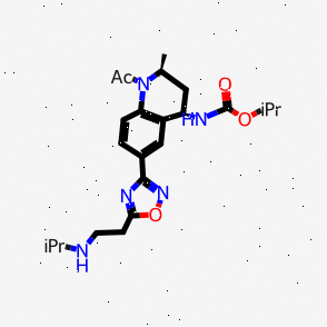 CC(=O)N1c2ccc(-c3noc(CCNC(C)C)n3)cc2[C@H](NC(=O)OC(C)C)C[C@@H]1C